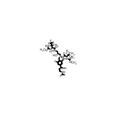 COC(=O)NC(C(=O)NC[C@@H](O)CN(Cc1c(F)cc(C(=N)/C=C\NC(F)F)cc1F)NC(=O)[C@@H](NC(=O)OC)C(C)(C)C)C(C)(C)C(F)(F)F